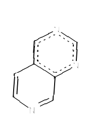 C1=Cc2cncnc2C=[N+]1